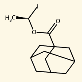 C[C@@H](I)OC(=O)C12CC3CC(CC(C3)C1)C2